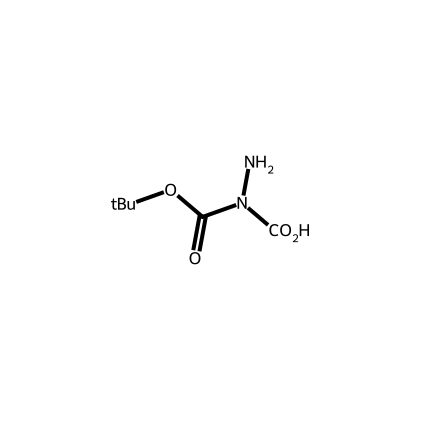 CC(C)(C)OC(=O)N(N)C(=O)O